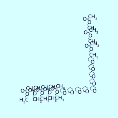 C1CCOC1.C1CCOC1.C1CCOC1.C1CCOC1.C1CCOC1.C1CCOC1.C1CCOC1.C1CCOC1.C1CCOC1.CCOC(C)=O.CCOC(C)=O.CCOC(C)=O.CCOC(C)=O.CCOC(C)=O.CCOC(C)=O.CCOC(C)=O.CCOC(C)=O